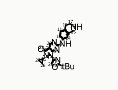 CC(C)(C)c1nc(-n2c3nc(Nc4ccc5c(c4)CNCC5)ncc3c(=O)n2C2CC2)co1